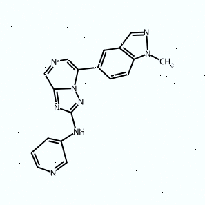 Cn1ncc2cc(-c3cncc4nc(Nc5cccnc5)nn34)ccc21